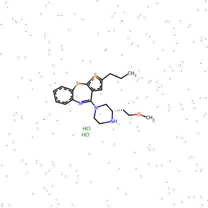 CCCc1cc2c(s1)Sc1ccccc1N=C2N1CCN[C@@H](CCOC)C1.Cl.Cl